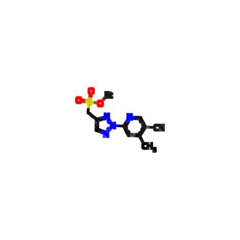 CCOS(=O)(=O)Cc1cnn(-c2cc(C)c(C#N)cn2)n1